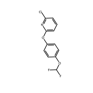 FC(F)Oc1ccc(Oc2cccc(Cl)n2)cc1